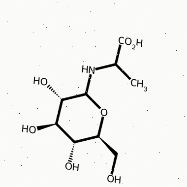 CC(NC1O[C@@H](CO)[C@H](O)[C@@H](O)[C@@H]1O)C(=O)O